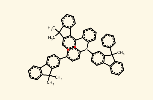 CC1(C)c2ccccc2-c2ccc(-c3ccc(N(c4ccc5c(c4)C(C)(c4ccccc4)c4ccccc4-5)c4ccccc4-c4cccc5c4-c4ccccc4C5(C)C)cc3)cc21